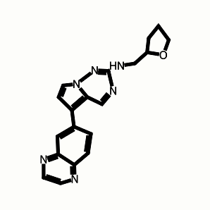 c1cnc2cc(-c3ccn4nc(NCC5CCCO5)ncc34)ccc2n1